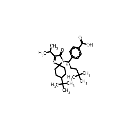 CC(C)C1=NC2(CCC(C(C)(C)C)CC2)N([C@H](CCC(C)(C)C)c2ccc(C(=O)O)cc2)C1=O